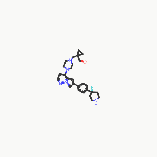 O=CC1(CN2CCN(c3ccnn4cc(-c5ccc(C6(F)CCNCC6)cc5)cc34)CC2)CC1